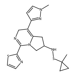 Cn1ccc(C2=C3CC(NSC4(C)CC4)CN3C(c3nccs3)=NC2)n1